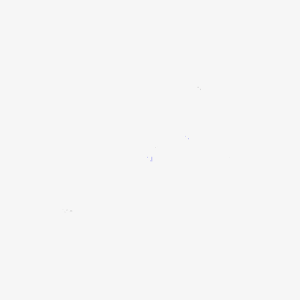 CCOC(=O)c1cc([N+](=O)[O-])cn1CC(=O)NCc1ccc(OC)cc1